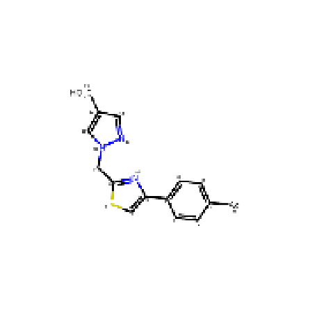 CC(=O)c1ccc(-c2csc(Cn3cc(C(=O)O)cn3)n2)cc1